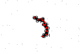 COc1cc2c(c(F)c1OCCCOc1c(OC)cc3sc(C(=O)CCC(=O)OC4CCC(NC(=O)OC(C)(C)C)CC4)cc3c1F)CN(C(=O)CCC(=O)OC(C)(C)C)C2